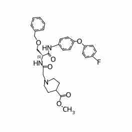 COC(=O)C1CCN(CC(=O)N[C@@H](COCc2ccccc2)C(=O)Nc2ccc(Oc3ccc(F)cc3)cc2)CC1